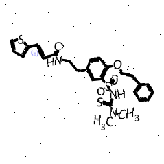 CN(C)C(=S)NS(=O)(=O)c1cc(CCNC(=O)/C=C/c2cccs2)ccc1OCCc1ccccc1